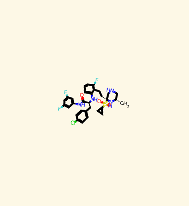 C[C@H]1CNC[C@](CCc2c(F)cccc2N[C@@H](Cc2ccc(Cl)cc2)C(=O)Nc2cc(F)cc(F)c2)(S(=O)(=O)C2CC2)N1